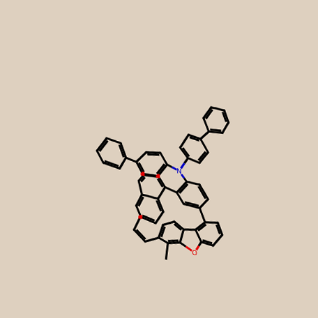 C/C=C\c1ccc2c(oc3cccc(-c4ccc(N(c5ccc(-c6ccccc6)cc5)c5ccc(-c6ccccc6)cc5)c(-c5cccc6ccccc56)c4)c32)c1C